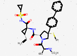 C=C[C@@H]1C[C@]1(NC(=O)[C@@H]1C[C@@](SC(C)C)(c2ccc(-c3ccccc3)cc2)CN1C(=O)[C@@H](NC(=O)O)C(C)(C)C)C(=O)NS(=O)(=O)C1CC1